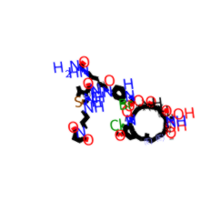 COc1cc2cc(c1Cl)N(C)C(=O)C[C@H](OC(=O)Nc1ccc(NC(=O)[C@H](CCCNC(N)=O)NC(=O)[C@@H](NC(=S)NCCCCN3C(=O)C=CC3=O)C(C)C)cc1Br)[C@]1(C)O[C@H]1[C@H](C)[C@@H]1C[C@@](O)(NC(O)O1)[C@H](OC)/C=C/C=C(\C)C2